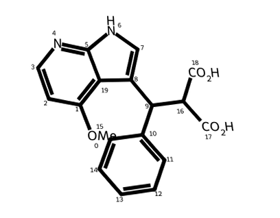 COc1ccnc2[nH]cc(C(c3ccccc3)C(C(=O)O)C(=O)O)c12